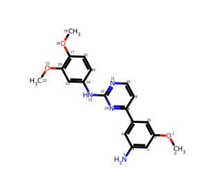 COc1cc(N)cc(-c2ccnc(Nc3ccc(OC)c(OC)c3)n2)c1